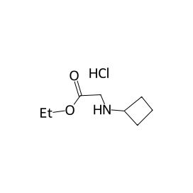 CCOC(=O)CNC1CCC1.Cl